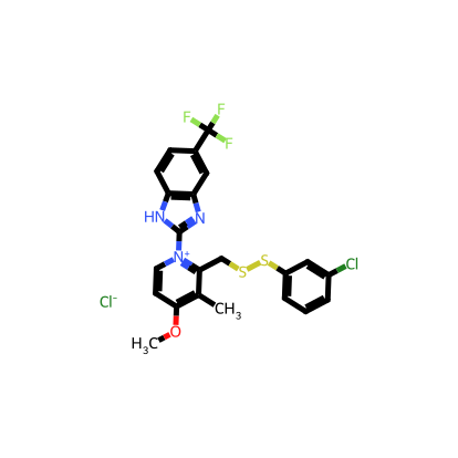 COc1cc[n+](-c2nc3cc(C(F)(F)F)ccc3[nH]2)c(CSSc2cccc(Cl)c2)c1C.[Cl-]